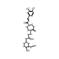 O=C(/C=C/c1ccc(Cl)c(Cl)c1)N1CCC(=O)N(CCC(O)CN2CCC(O)C(CO)C2)CC1